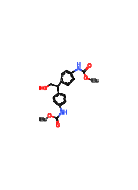 CC(C)(C)OC(=O)Nc1ccc(C(CO)c2ccc(NC(=O)OC(C)(C)C)cc2)cc1